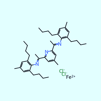 CCCCc1cc(C)cc(CCCC)c1N=C(C)c1cc(C)cc(C(C)=Nc2c(CCCC)cc(C)cc2CCCC)n1.[Cl-].[Cl-].[Fe+2]